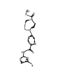 CC(C)(C)OC(=O)N1CCN(c2ccc(C(=O)Nc3nc(Br)cs3)nc2)CC1